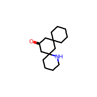 O=C1CC2(CCCCC2)CC2(CCCCN2)C1